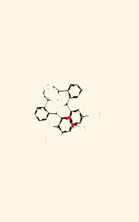 CCC(C)c1ccccc1C(OC(c1ccccc1C(C)CC)c1c(C)c(C)cc(C)c1C)c1c(C)c(C)cc(C)c1C